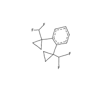 FC(F)C1(c2ccccc2C2(C(F)F)CC2)CC1